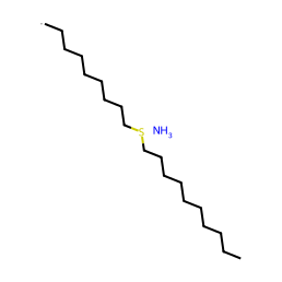 N.[CH2]CCCCCCCCSCCCCCCCCCC